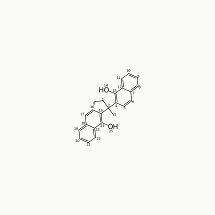 CCC(C)(c1ccc2ccccc2c1O)c1ccc2ccccc2c1O